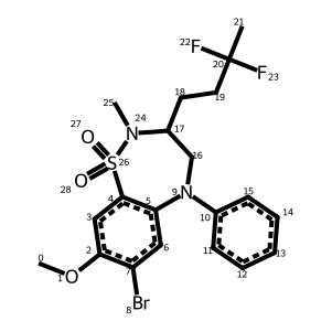 COc1cc2c(cc1Br)N(c1ccccc1)CC(CCC(C)(F)F)N(C)S2(=O)=O